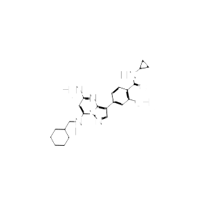 Cc1cc(-c2cnn3c(NCC4CCCCC4)cc(N)nc23)ccc1C(=O)NC1CC1